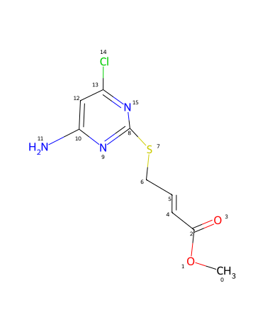 COC(=O)C=CCSc1nc(N)cc(Cl)n1